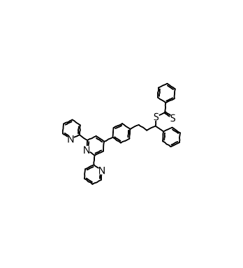 S=C(SC(CCc1ccc(-c2cc(-c3ccccn3)nc(-c3ccccn3)c2)cc1)c1ccccc1)c1ccccc1